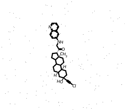 C[C@]12CCC3C(CC[C@@H]4C[C@@](O)(C#CCl)CC[C@H]34)C1CC[C@@H]2C(=O)CNc1ccc2ncccc2c1